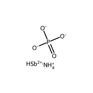 O=P([O-])([O-])[O-].[NH4+].[SbH+2]